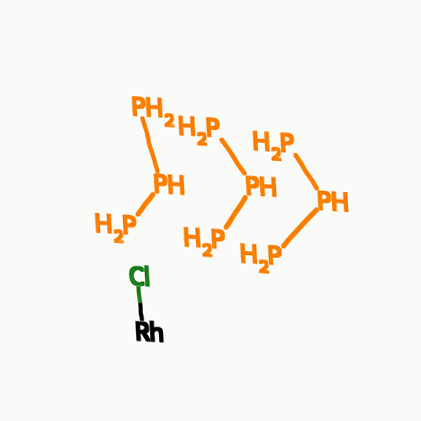 PPP.PPP.PPP.[Cl][Rh]